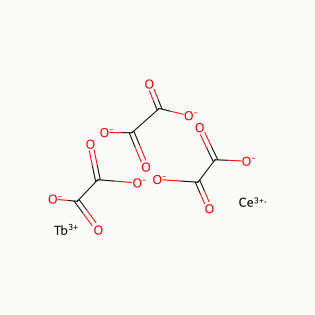 O=C([O-])C(=O)[O-].O=C([O-])C(=O)[O-].O=C([O-])C(=O)[O-].[Ce+3].[Tb+3]